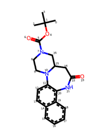 CC(C)(C)OC(=O)N1CCN2c3ccc4ccccc4c3NC(=O)CC2C1